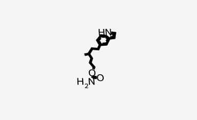 CC(CCCOC(N)=O)CCc1ccc2[nH]ccc2c1